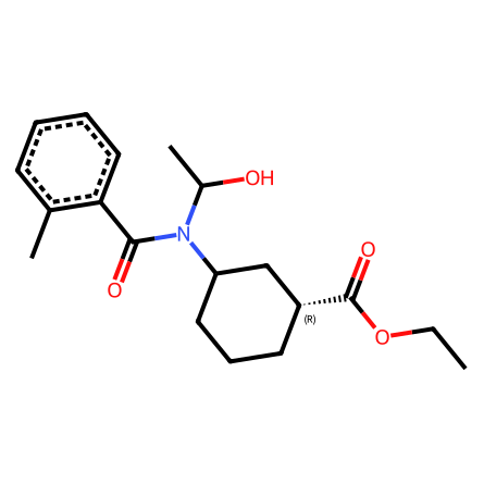 CCOC(=O)[C@@H]1CCCC(N(C(=O)c2ccccc2C)C(C)O)C1